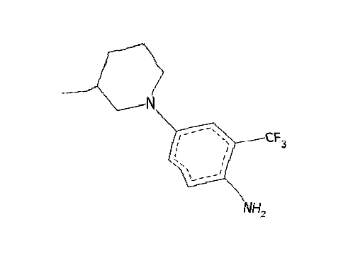 CC1CCCN(c2ccc(N)c(C(F)(F)F)c2)C1